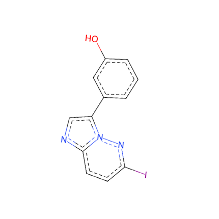 Oc1cccc(-c2cnc3ccc(I)nn23)c1